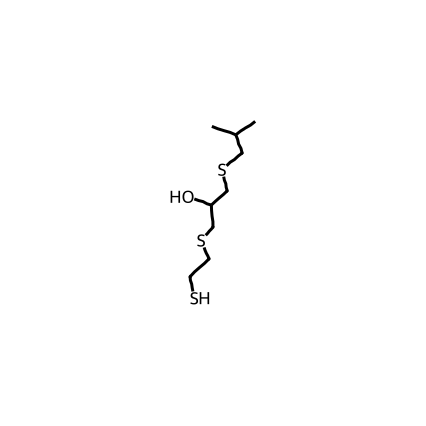 CC(C)CSCC(O)CSCCS